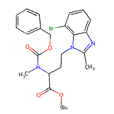 Cc1nc2cccc(Br)c2n1CCC(C(=O)OC(C)(C)C)N(C)C(=O)OCc1ccccc1